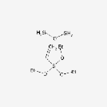 C=C[Si](OCC)(OCC)OCC.[SiH3]O[SiH3]